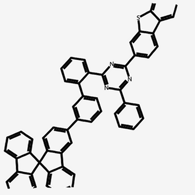 c1ccc(-c2nc(-c3ccc4c(c3)sc3ccccc34)nc(-c3ccccc3-c3cccc(-c4ccc5c(c4)-c4ccccc4C54c5ccccc5-c5ccccc54)c3)n2)cc1